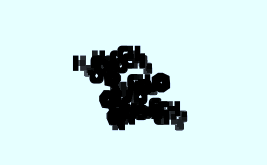 COC(=O)[C@@H]1C[C@H](Nc2cccc(-c3ccnc4nn(COCC[Si](C)(C)C)c(CCCN(C)C(=O)OCc5ccccc5)c34)n2)CN1C(=O)OC(C)(C)C